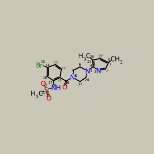 Cc1cnc(N2CCN(C(=O)c3ccc(Br)cc3NS(C)(=O)=O)CC2)c(C)c1